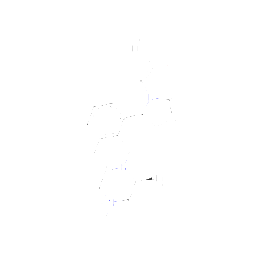 Cc1cccc(C2CCCN2C=C(O)C=O)c1CN1CCN(C)C[C@@H]1C(C)C